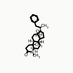 CC(Cc1ccccc1)[C@H]1CC[C@H]2[C@@H]3CC[C@H]4N(C)C(=O)CC[C@]4(C)[C@H]3CC[C@]12C